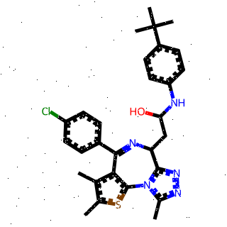 Cc1sc2c(c1C)C(c1ccc(Cl)cc1)=NC(CC(O)Nc1ccc(C(C)(C)C)cc1)c1nnc(C)n1-2